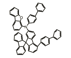 c1ccc(-c2ccc(-c3cccc4c3-c3ccc(N(c5ccc(-c6ccccc6)cc5)c5cccc6c5oc5ccccc56)cc3C43c4ccccc4-c4ccccc43)cc2)cc1